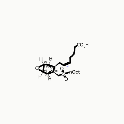 CCCCCCCCS(=O)(=O)C[C@@H]1[C@H](C/C=C\CCCC(=O)O)[C@H]2O[C@@H]1[C@H]1O[C@H]12